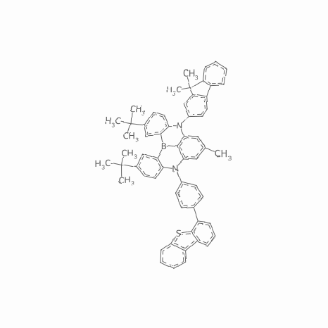 Cc1cc2c3c(c1)N(c1ccc4c(c1)C(C)(C)c1ccccc1-4)c1ccc(C(C)(C)C)cc1B3c1cc(C(C)(C)C)ccc1N2c1ccc(-c2cccc3c2sc2ccccc23)cc1